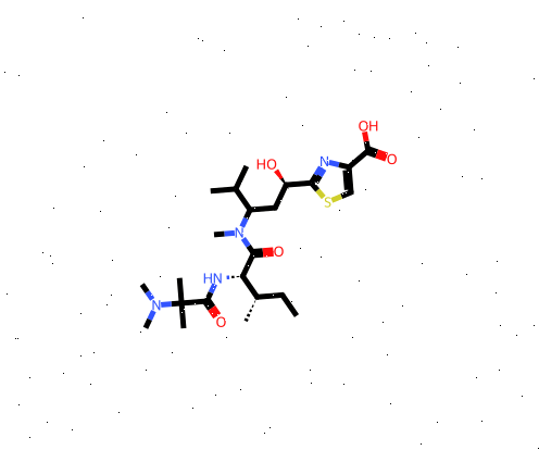 CC[C@H](C)[C@H](NC(=O)C(C)(C)N(C)C)C(=O)N(C)C(C[C@@H](O)c1nc(C(=O)O)cs1)C(C)C